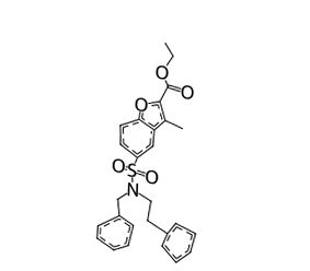 CCOC(=O)c1oc2ccc(S(=O)(=O)N(CCc3ccccc3)Cc3ccccc3)cc2c1C